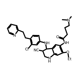 CCOc1cc2c(cc1NC(=O)CCCN(C)C)C(Nc1ccc(CCc3ccccn3)c(Cl)c1)C(C#N)CN2